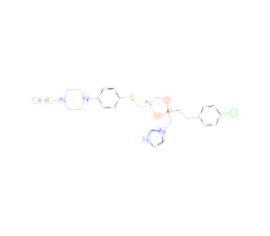 O=CN1CCN(c2ccc(SC[C@@H]3CO[C@](CCc4ccc(Cl)cc4)(Cn4ccnc4)O3)cc2)CC1